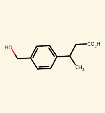 CC(CC(=O)O)c1ccc(CO)cc1